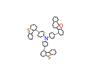 c1ccc2c(c1)ccc1c2oc2cccc(-c3ccc(N(c4ccc(-c5cccc6sc7ccccc7c56)cc4)c4ccc(-c5cccc6sc7ccccc7c56)cc4)cc3)c21